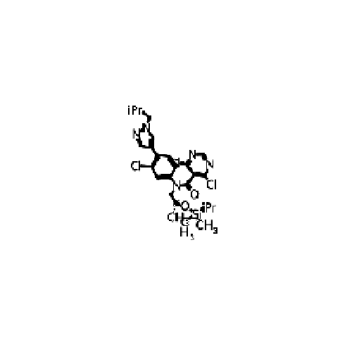 CC(C)Cn1cc(-c2ccc(N(C[C@@H](C)O[Si](C)(C)C(C)C)C(=O)c3c(Cl)ncnc3Cl)cc2Cl)cn1